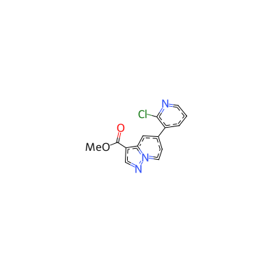 COC(=O)c1cnn2ccc(-c3cccnc3Cl)cc12